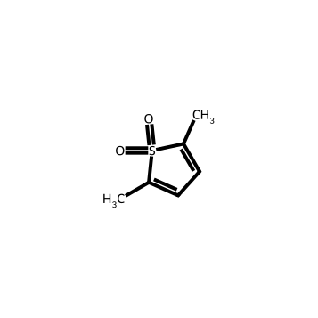 CC1=CC=C(C)S1(=O)=O